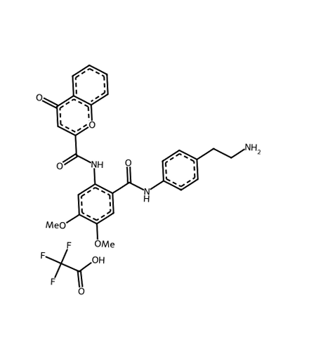 COc1cc(NC(=O)c2cc(=O)c3ccccc3o2)c(C(=O)Nc2ccc(CCN)cc2)cc1OC.O=C(O)C(F)(F)F